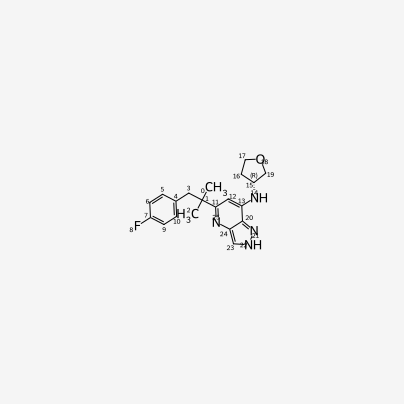 CC(C)(Cc1ccc(F)cc1)c1cc(N[C@@H]2CCOC2)c2n[nH]cc2n1